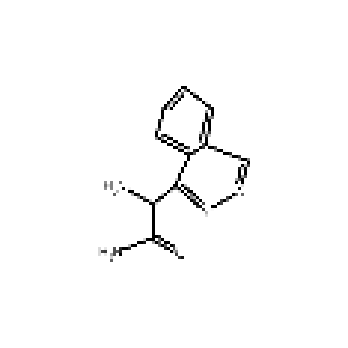 NC(=O)C(N)c1nncc2ccccc12